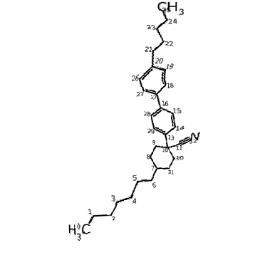 CCCCCCCC1CCC(C#N)(c2ccc(-c3ccc(CCCCC)cc3)cc2)CC1